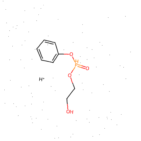 O=[PH](OCCO)Oc1ccccc1.[H+]